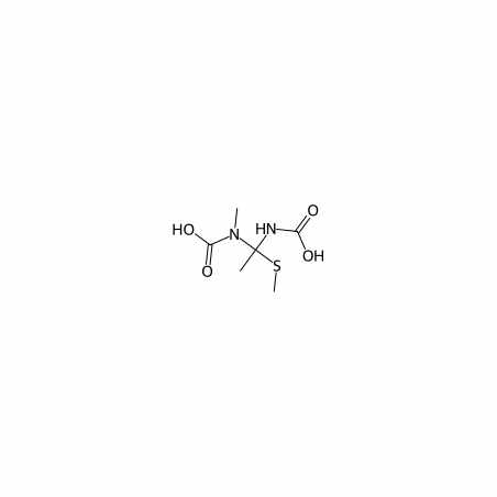 CSC(C)(NC(=O)O)N(C)C(=O)O